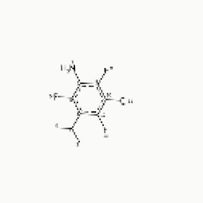 CC(C)c1c(F)c(N)c(F)c(Cl)c1F